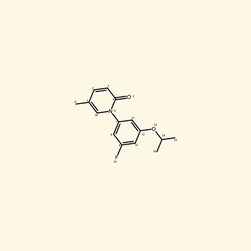 Cc1ccc(=O)n(-c2cc(F)cc(OC(C)C)c2)c1